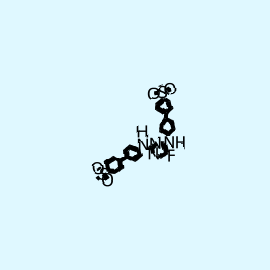 CS(=O)(=O)c1ccc(-c2ccc(Nc3ncc(F)c(Nc4ccc(-c5ccc(S(C)(=O)=O)cc5)cc4)n3)cc2)cc1